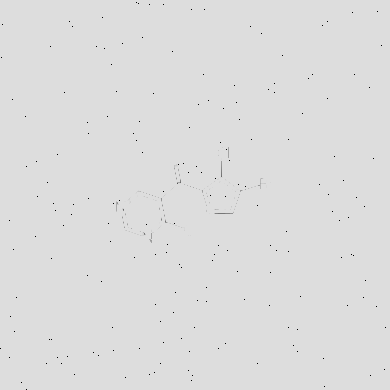 O=C(c1cncnc1Cl)c1scc(Br)c1Cl